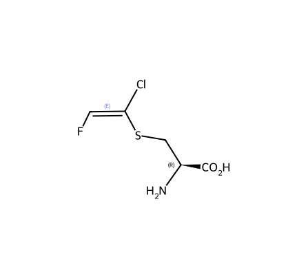 N[C@@H](CS/C(Cl)=C\F)C(=O)O